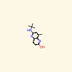 Cc1cc(NC(C)(C)C)nc2ccc(O)nc12